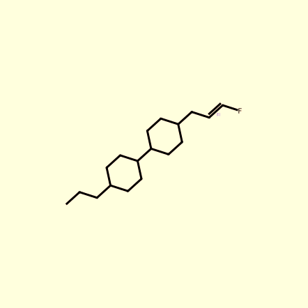 CCCC1CCC(C2CCC(C/C=C/F)CC2)CC1